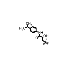 CC(C)c1ccc(NC(=O)C(O)CC(F)(F)F)cc1